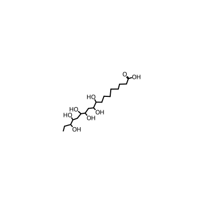 CCC(O)C(O)CC(O)C(O)CC(O)C(O)CCCCCCCC(=O)O